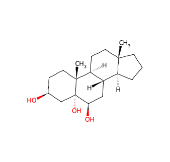 C[C@@]12CCC[C@H]1[C@@H]1C[C@@H](O)[C@@]3(O)C[C@@H](O)CC[C@]3(C)[C@H]1CC2